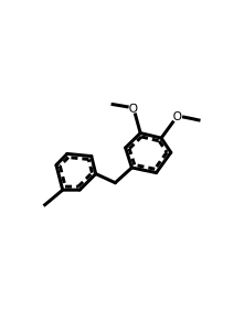 COc1ccc(Cc2cccc(C)c2)cc1OC